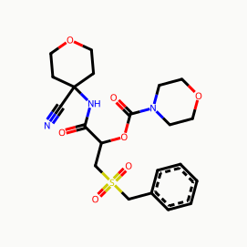 N#CC1(NC(=O)C(CS(=O)(=O)Cc2ccccc2)OC(=O)N2CCOCC2)CCOCC1